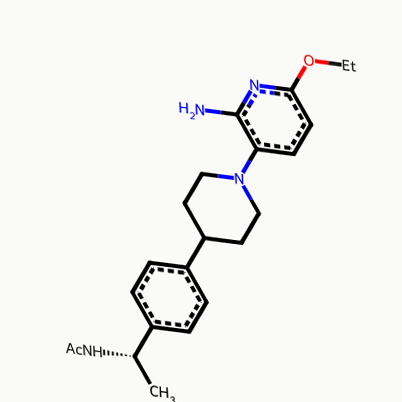 CCOc1ccc(N2CCC(c3ccc([C@H](C)NC(C)=O)cc3)CC2)c(N)n1